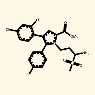 COC(=O)c1cc(-c2ccc(Cl)cc2Cl)c(-c2ccc(Cl)cc2)n1CCC(N)S(C)(=O)=O